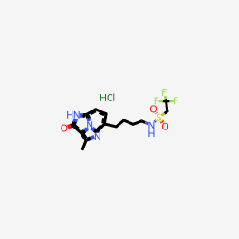 Cc1nc2c(CCCCNS(=O)(=O)CC(F)(F)F)ccc3[nH]c(=O)c1n32.Cl